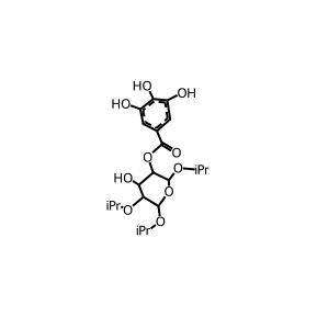 CC(C)OC1OC(OC(C)C)C(OC(C)C)C(O)C1OC(=O)c1cc(O)c(O)c(O)c1